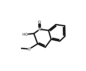 COC1=Cc2ccccc2[N+](=O)C1O